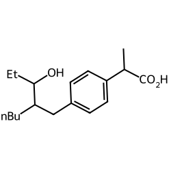 CCCCC(Cc1ccc(C(C)C(=O)O)cc1)C(O)CC